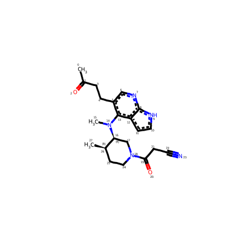 CC(=O)CCc1cnc2[nH]ccc2c1N(C)[C@H]1CN(C(=O)CC#N)CC[C@H]1C